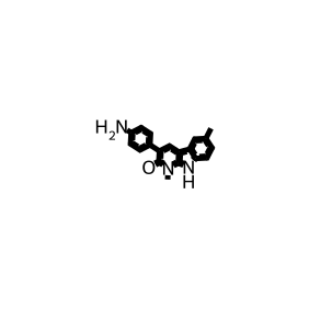 Cc1ccc2[nH]c3c(cc(-c4ccc(N)cc4)c(=O)n3C)c2c1